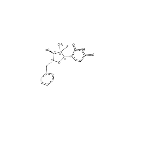 C[C@@]1(F)[C@H](O)[C@@H](Cc2cc[c]cc2)O[C@H]1n1ccc(=O)[nH]c1=O